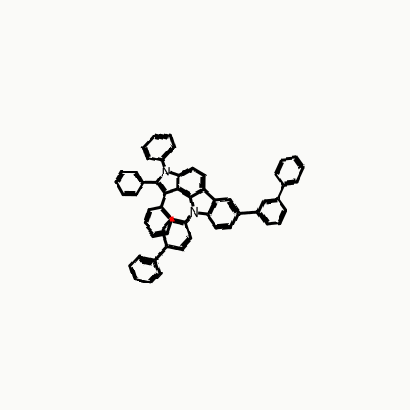 C1=CC(c2ccccc2)CC=C1n1c2ccc(-c3cccc(-c4ccccc4)c3)cc2c2ccc3c(c(-c4ccccc4)c(-c4ccccc4)n3-c3ccccc3)c21